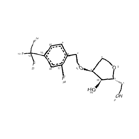 OC[C@H]1OC[C@H](OCc2ccc(C(F)(F)F)cc2F)[C@@H]1O